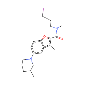 Cc1c(C(=O)N(C)CCCI)oc2ccc(N3CCCC(C)C3)cc12